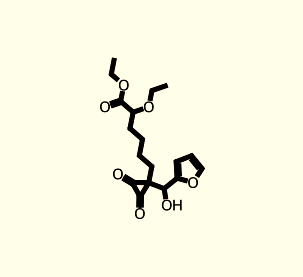 CCOC(=O)C(CCCCC1(C(O)c2ccco2)C(=O)C1=O)OCC